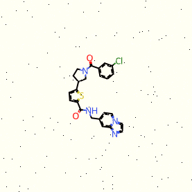 O=C(NCc1ccn2ccnc2c1)c1ccc(C2CCN(C(=O)c3cccc(Cl)c3)C2)s1